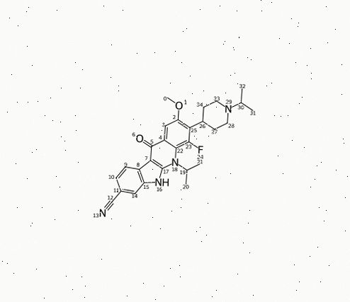 COc1cc2c(=O)c3c4ccc(C#N)cc4[nH]c3n(C(C)C)c2c(F)c1C1CCN(C(C)C)CC1